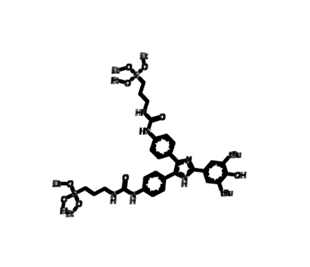 CCO[Si](CCCNC(=O)Nc1ccc(-c2nc(-c3cc(C(C)(C)C)c(O)c(C(C)(C)C)c3)[nH]c2-c2ccc(NC(=O)NCCC[Si](OCC)(OCC)OCC)cc2)cc1)(OCC)OCC